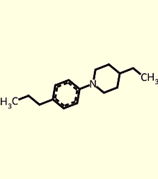 CCCc1ccc(N2CCC(CC)CC2)cc1